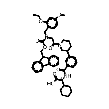 CCOc1cc(OC)ccc1CN(CC(=O)N1CCCC(c2cccc(C(=O)N[C@H](C(=O)O)C3CCCCC3)c2)C1)C(=O)OCC1c2ccccc2-c2ccccc21